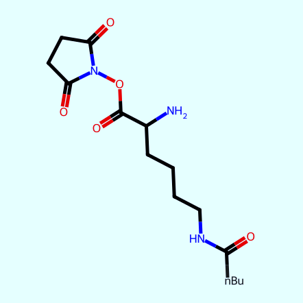 CCCCC(=O)NCCCCC(N)C(=O)ON1C(=O)CCC1=O